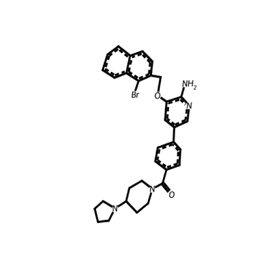 Nc1ncc(-c2ccc(C(=O)N3CCC(N4CCCC4)CC3)cc2)cc1OCc1ccc2ccccc2c1Br